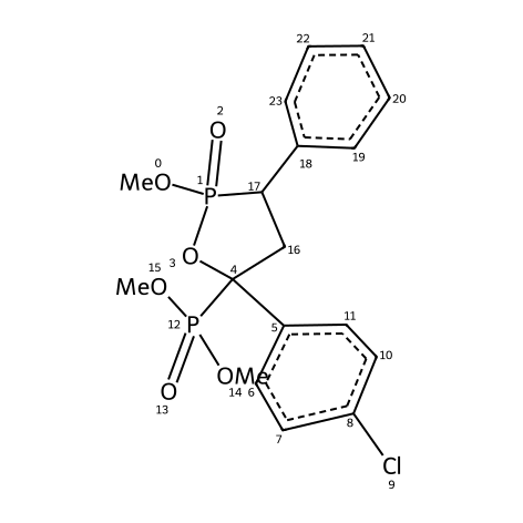 COP1(=O)OC(c2ccc(Cl)cc2)(P(=O)(OC)OC)CC1c1ccccc1